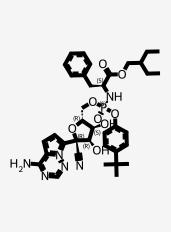 CCC(CC)COC(=O)[C@H](Cc1ccccc1)N[P@](=O)(OC[C@H]1O[C@@](C#N)(c2ccc3c(N)ncnn23)[C@H](O)[C@@H]1O)Oc1ccc(C(C)(C)C)cc1